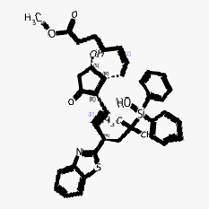 COC(=O)CCC/C=C\C[C@H]1[C@@H](O)CC(=O)[C@@H]1/C=C/[C@@H](CC(C)(C)[Si](O)(c1ccccc1)c1ccccc1)c1nc2ccccc2s1